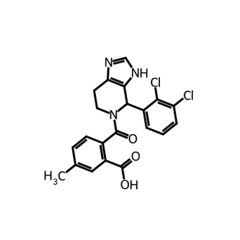 Cc1ccc(C(=O)N2CCc3nc[nH]c3C2c2cccc(Cl)c2Cl)c(C(=O)O)c1